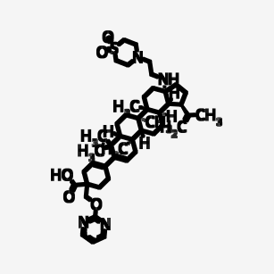 C=C(C)[C@@H]1CC[C@]2(NCCN3CCS(=O)(=O)CC3)CC[C@]3(C)[C@H](CC[C@@H]4[C@@]5(C)CC=C(C6=CCC(COc7ncccn7)(C(=O)O)CC6)C(C)(C)[C@@H]5CC[C@]43C)[C@@H]12